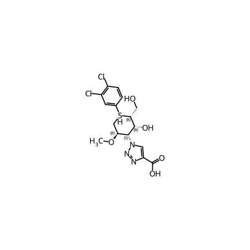 CO[C@H]1C[SH](c2ccc(Cl)c(Cl)c2)[C@H](CO)[C@H](O)[C@@H]1n1cc(C(=O)O)nn1